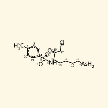 Cc1ccc(S(=O)(=O)NC(CCCC[AsH2])C(=O)CCl)cc1